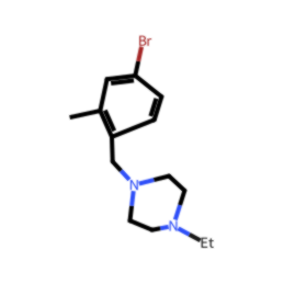 CCN1CCN(Cc2ccc(Br)cc2C)CC1